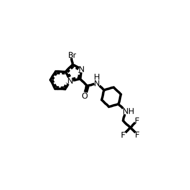 O=C(NC1CCC(NCC(F)(F)F)CC1)c1nc(Br)c2ccccn12